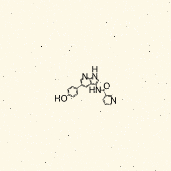 O=C(Nc1c[nH]c2ncc(-c3ccc(O)cc3)cc12)c1cccnc1